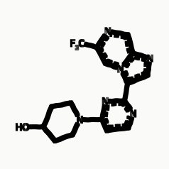 OC1CCN(c2ccnc(-c3cnc4cnc(C(F)(F)F)cn34)n2)CC1